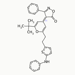 CC(C)(C)C1=C/C(=C2/C(=O)ON=C2c2ccccc2)C=C(CCc2ccc(Nc3ccccc3)s2)O1